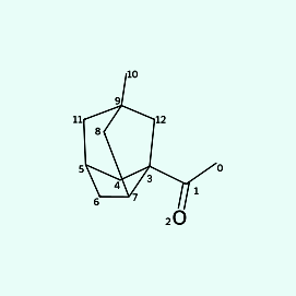 CC(=O)C12CC3CC1CC(C)(C3)C2